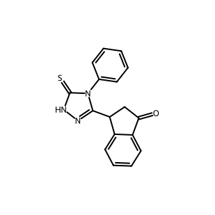 O=C1CC(c2n[nH]c(=S)n2-c2ccccc2)c2ccccc21